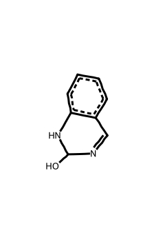 OC1N=Cc2ccccc2N1